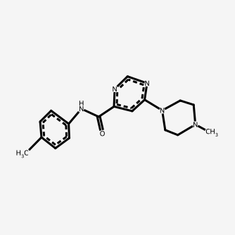 Cc1ccc(NC(=O)c2cc(N3CCN(C)CC3)ncn2)cc1